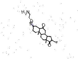 CC12CCC3C(CC(=O)C4C/C(=N\OCCN)CCC43C)C1CC(F)C2=O